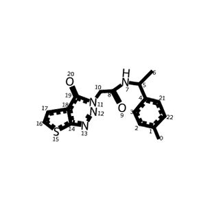 Cc1ccc(C(C)NC(=O)Cn2nnc3sccc3c2=O)cc1